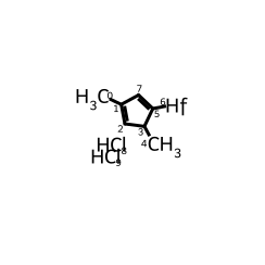 CC1=CC(C)[C]([Hf])=C1.Cl.Cl